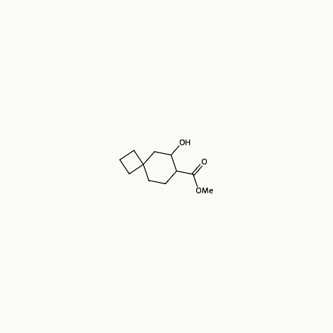 COC(=O)C1CCC2(CCC2)CC1O